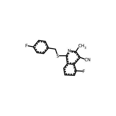 Cc1nc(SCc2ccc(F)cc2)c2cccc(F)c2c1C#N